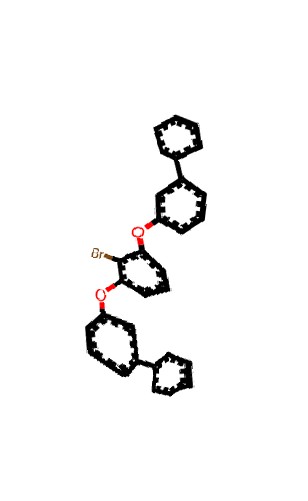 Brc1c(Oc2cccc(-c3ccccc3)c2)cccc1Oc1cccc(-c2ccccc2)c1